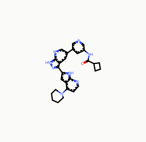 O=C(Nc1cncc(-c2cnc3[nH]nc(-c4cc5c(N6CCCCC6)ccnc5[nH]4)c3c2)c1)C1CCC1